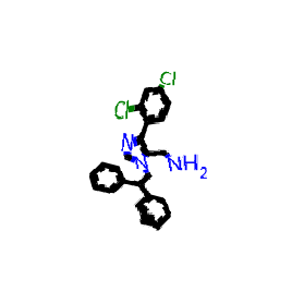 NCc1c(-c2ccc(Cl)cc2Cl)ncn1CC(c1ccccc1)c1ccccc1